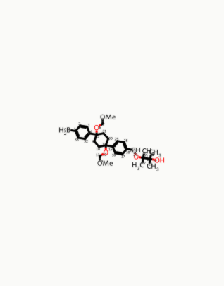 Bc1ccc(C2(OCOC)CCC(OCOC)(c3ccc(BOC(C)(C)C(C)(C)O)cc3)CC2)cc1